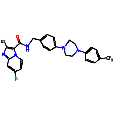 CCc1nc2cc(F)ccn2c1C(=O)NCc1ccc(N2CCN(c3ccc(C(F)(F)F)cc3)CC2)cc1